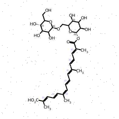 CC(=C/C=C/C=C(C)/C=C/C=C(\C)C(=O)O[C@@H]1OC(CO[C@@H]2OC(CO)[C@@H](O)C(O)C2O)[C@@H](O)C(O)C1O)/C=C/C=C(\C)C(=O)O